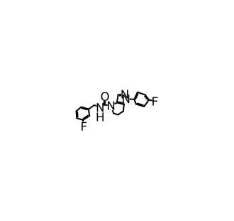 O=C(NCc1cccc(F)c1)N1CCCc2c1cnn2-c1ccc(F)cc1